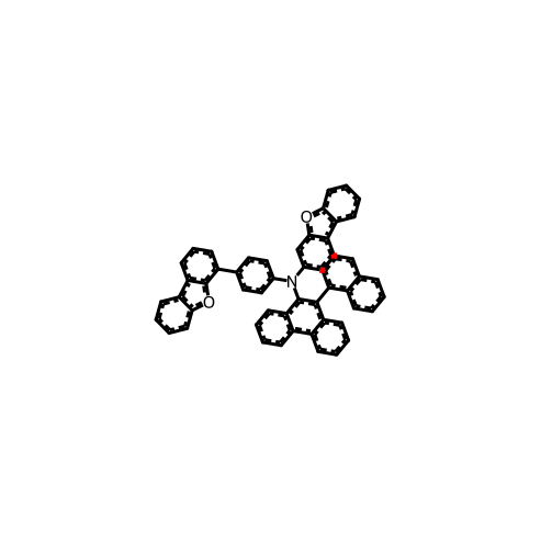 c1ccc2c(-c3c(N(c4ccc(-c5cccc6c5oc5ccccc56)cc4)c4ccc5c(c4)oc4ccccc45)c4ccccc4c4ccccc34)cccc2c1